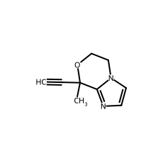 C#CC1(C)OCCn2ccnc21